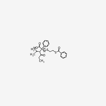 CCC(=O)[C@@H](C(C)C)[C@](NSCCSC(=O)c1ccccc1)(C(=O)O)c1ccccc1